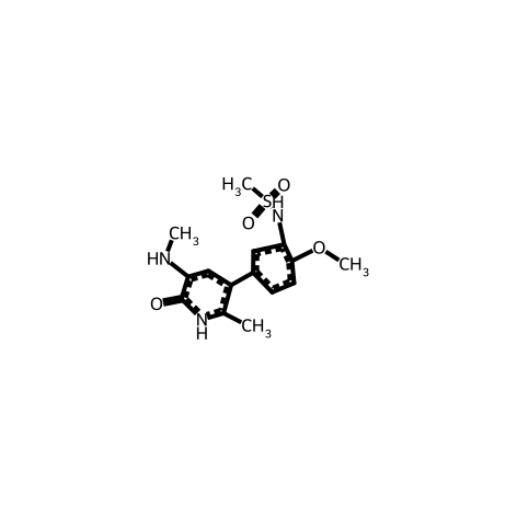 CNc1cc(-c2ccc(OC)c(NS(C)(=O)=O)c2)c(C)[nH]c1=O